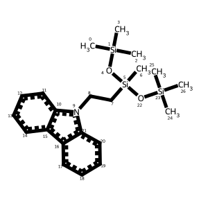 C[Si](C)(C)O[Si](C)(CCn1c2ccccc2c2ccccc21)O[Si](C)(C)C